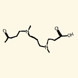 CC(=O)CCN(C)CCCN(C)CCC(=O)O